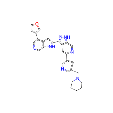 c1cc(-c2cncc3[nH]c(-c4n[nH]c5cnc(-c6cncc(CN7CCCCC7)c6)cc45)cc23)co1